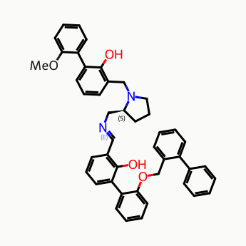 COc1ccccc1-c1cccc(CN2CCC[C@H]2C/N=C/c2cccc(-c3ccccc3OCc3ccccc3-c3ccccc3)c2O)c1O